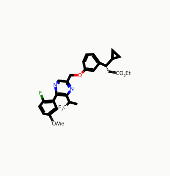 CCOC(=O)C[C@H](c1cccc(OCc2cnc(-c3cc(OC)ccc3F)c(C(C)C(F)(F)F)n2)c1)C1CC1